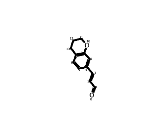 O=CC=Cc1ccc2c(c1)OCCC2